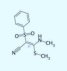 CN/C(SC)=C(/C#N)S(=O)(=O)c1ccccc1